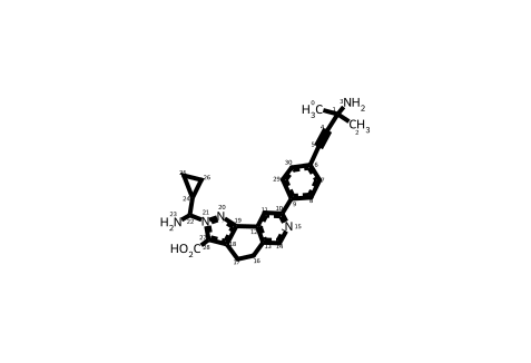 CC(C)(N)C#Cc1ccc(-c2cc3c(cn2)CCc2c-3nn(C(N)C3CC3)c2C(=O)O)cc1